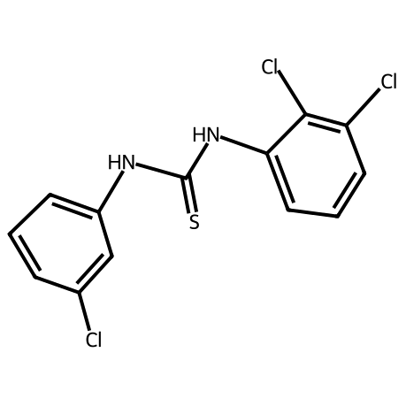 S=C(Nc1cccc(Cl)c1)Nc1cccc(Cl)c1Cl